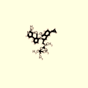 CN(Cc1cc2cc(C3CC3)ccc2c(=O)n1-c1cccc(-c2ccnc(N)c2)c1CO)C(=O)OC(C)(C)C